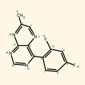 Cc1cnc2c(-c3ccc(F)cc3F)ncnc2n1